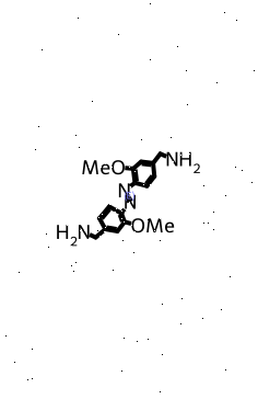 COc1cc(CN)ccc1/N=N/c1ccc(CN)cc1OC